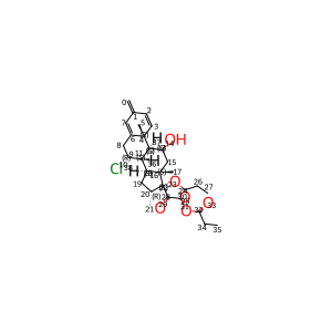 C=C1C=C[C@@]2(C)C(=C1)C[C@@H](Cl)[C@@H]1[C@@H]2[C@@H](O)C[C@@]2(C)[C@H]1C[C@@H](C)[C@]2(OC(=O)CC)C(=O)COC(=O)CC